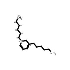 CCCCCCC1=CC=CN(CCCCCC)C1